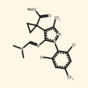 COC(=O)C1(c2c(C(F)(F)F)nn(-c3c(Cl)cc(C(F)(F)F)cc3Cl)c2N=CN(C)C)CC1